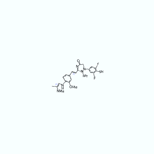 CCCN1C(/C=C/c2ccc(N/C=C(/C)NC)c(OC)c2)=NC(=O)CN1c1cc(F)c(S)c(F)c1